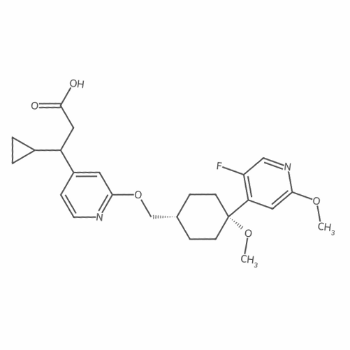 COc1cc([C@]2(OC)CC[C@@H](COc3cc(C(CC(=O)O)C4CC4)ccn3)CC2)c(F)cn1